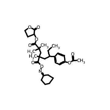 CCC(CC(C)(CC(C)(C)C(=O)OC1CCOC1=O)C(=O)ON=C1CCCCC1)c1ccc(OC(C)=O)cc1